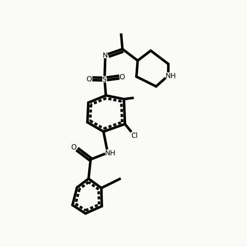 C/C(=N/S(=O)(=O)c1ccc(NC(=O)c2ccccc2C)c(Cl)c1C)C1CCNCC1